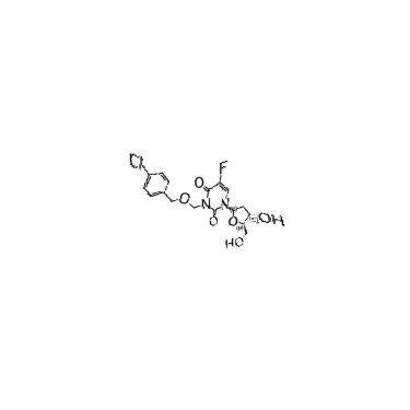 O=c1c(F)cn([C@H]2C[C@H](O)[C@@H](CO)O2)c(=O)n1COCc1ccc(Cl)cc1